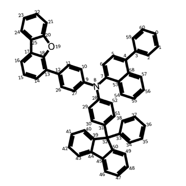 c1ccc(-c2ccc(N(c3ccc(-c4cccc5c4oc4ccccc45)cc3)c3ccc(C4(c5ccccc5)c5ccccc5-c5ccccc54)cc3)c3ccccc23)cc1